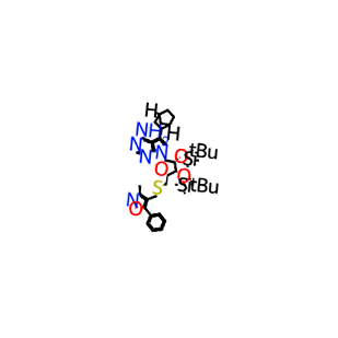 Cc1noc(-c2ccccc2)c1CSC[C@H]1O[C@@H](n2cc(C3C[C@@H]4CC[C@H]3C4)c3c(N)ncnc32)[C@H](O[Si](C)(C)C(C)(C)C)[C@@H]1O[Si](C)(C)C(C)(C)C